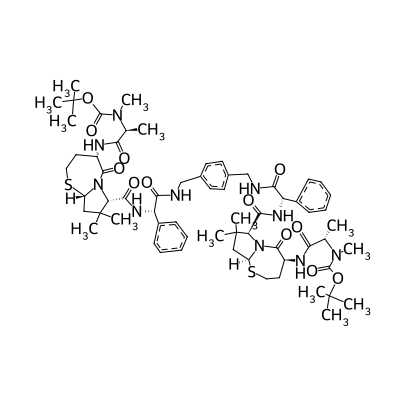 C[C@@H](C(=O)N[C@H]1CCS[C@H]2CC(C)(C)[C@@H](C(=O)N[C@H](C(=O)NCc3ccc(CNC(=O)[C@@H](NC(=O)[C@H]4N5C(=O)[C@@H](NC(=O)[C@H](C)N(C)C(=O)OC(C)(C)C)CCS[C@H]5CC4(C)C)c4ccccc4)cc3)c3ccccc3)N2C1=O)N(C)C(=O)OC(C)(C)C